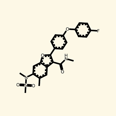 CNC(=O)c1c(-c2ccc(Oc3ccc(F)cc3)cc2)oc2cc(N(C)S(C)(=O)=O)c(C)cc12